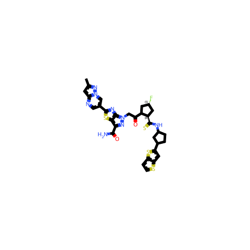 Cc1cc2ncc(-c3nc4c(s3)c(C(N)=O)nn4CC(=O)C3C[C@H](F)C[C@H]3C(=S)NC3CCC(c4cc5sccc5s4)C3)cn2n1